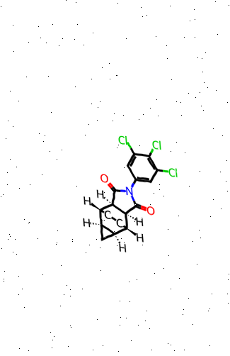 O=C1[C@@H]2[C@@H]3CC[C@@H]([C@H]4C[C@H]43)[C@@H]2C(=O)N1c1cc(Cl)c(Cl)c(Cl)c1